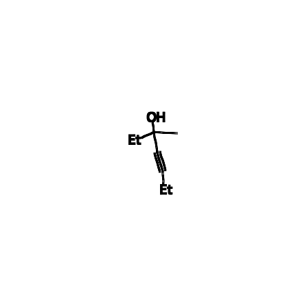 CCC#CC(C)(O)CC